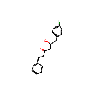 O=C(CCc1ccccc1)CC(O)Cc1ccc(F)cc1